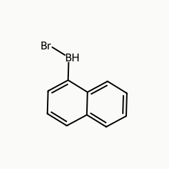 BrBc1cccc2ccccc12